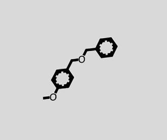 COc1ccc(COCc2ccccc2)cc1